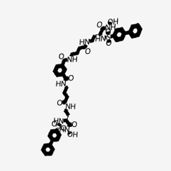 O=C(CCCNC(=O)c1cccc(C(=O)NCCCC(=O)NCC[C@@H](NS(=O)(=O)c2ccc(-c3ccccc3)cc2)C(=O)NO)c1)NCC[C@@H](NS(=O)(=O)c1ccc(-c2ccccc2)cc1)C(=O)NO